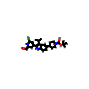 CC(C)c1c(-c2cc(Cl)nc(C=O)c2)[nH]c2ccc(C3CCN(C(=O)OC(C)(C)C)CC3)cc12